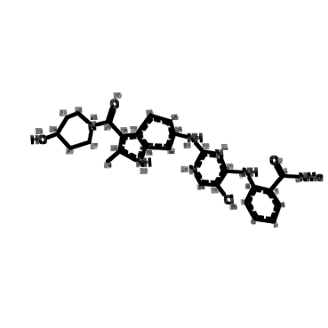 CNC(=O)c1ccccc1Nc1nc(Nc2ccc3c(C(=O)N4CCC(O)CC4)c(C)[nH]c3c2)ncc1Cl